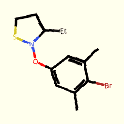 CCC1CCSN1Oc1cc(C)c(Br)c(C)c1